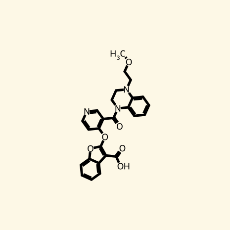 COCCN1CCN(C(=O)c2cnccc2Oc2oc3ccccc3c2C(=O)O)c2ccccc21